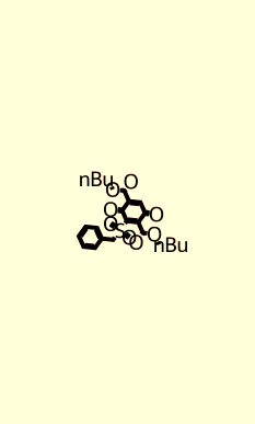 CCCCOC(=O)C1=CC(=O)C(C(=O)OCCCC)=C(S(=O)(=O)Cc2ccccc2)C1=O